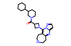 O=C(C1CN(c2c3c(nc4ccnn24)CCNCC3)C1)N1CCCC(C2CCCCC2)C1